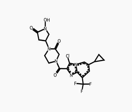 O=C1CC(N2CCN(C(=O)c3nc4c(C(F)(F)F)cc(C5CC5)cn4c3Cl)CC2=O)CN1O